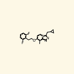 Cc1c(OCCc2c(F)cccc2F)ccn2c(CC3CC3)nnc12